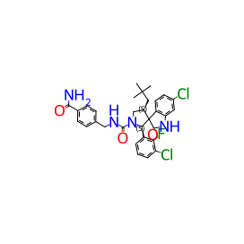 CC(C)(C)C[C@@H]1CN(C(=O)NCc2ccc(C(N)=O)cc2)[C@H](c2cccc(Cl)c2F)C12C(=O)Nc1cc(Cl)ccc12